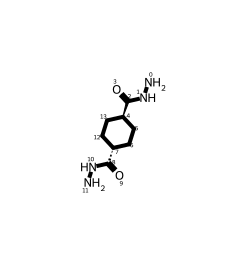 NNC(=O)[C@H]1CC[C@H](C(=O)NN)CC1